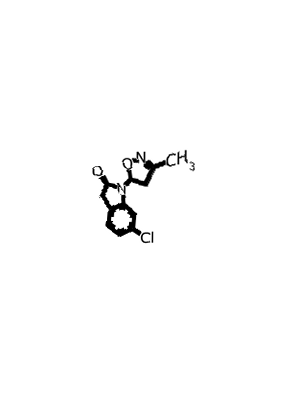 CC1=NOC(N2C(=O)Cc3ccc(Cl)cc32)C1